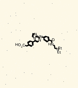 CCN(CC)CCNC(=O)c1ccc(Nc2ncc(-c3ccc(CC(=O)O)cc3)n3ccnc23)cc1